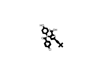 CC(C)(C)C#Cc1cc(N(C(=O)c2ccc(Cl)cc2)C2CCC(O)CC2)c(C(=O)O)s1